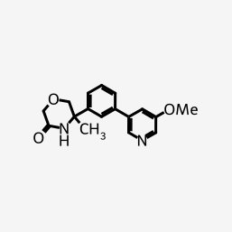 COc1cncc(-c2cccc(C3(C)COCC(=O)N3)c2)c1